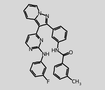 Cc1cccc(C(=O)Nc2cccc(-c3nn4ccccc4c3-c3ccnc(Nc4cccc(F)c4)n3)c2)c1